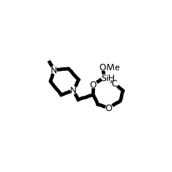 CO[SiH]1CCCOCC(CN2CCN(C)CC2)O1